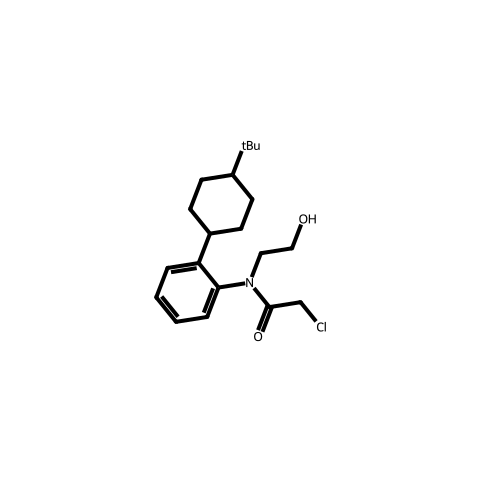 CC(C)(C)C1CCC(c2ccccc2N(CCO)C(=O)CCl)CC1